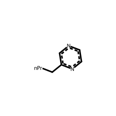 C[CH]CCc1cnccn1